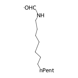 [CH2]CCCCCCCCCCCN[C]=O